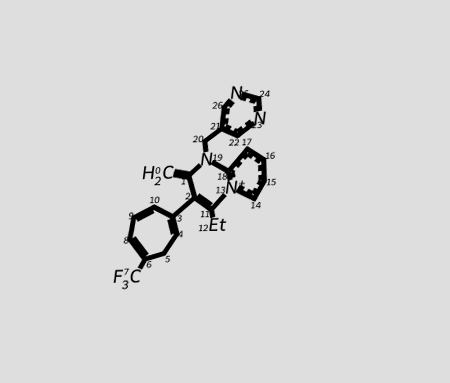 C=C1C(C2=CCC(C(F)(F)F)=CC=C2)=C(CC)[n+]2ccccc2N1Cc1cncnc1